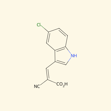 N#CC(=Cc1c[nH]c2ccc(Cl)cc12)C(=O)O